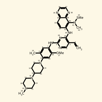 C=Cc1cnc(Nc2cc(C)c(N3CCC(N4CCN(C)CC4)CC3)cc2OC)nc1Nc1ccc2nccnc2c1N(C)SC